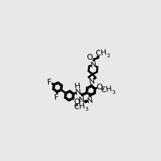 C=CC(=O)N1CCC2(CC1)CN(c1cc3c(Nc4cc(-c5ccc(F)cc5F)ccc4OC)ncnc3cc1OC)C2